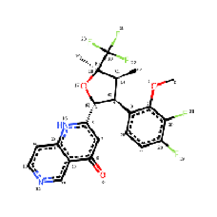 COc1c([C@H]2[C@H](c3cc(=O)c4cnccc4[nH]3)O[C@@](C)(C(F)(F)F)[C@H]2C)ccc(F)c1F